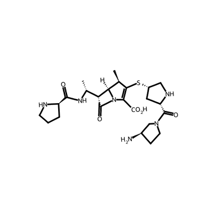 C[C@@H](NC(=O)[C@H]1CCCN1)[C@H]1C(=O)N2C(C(=O)O)=C(S[C@@H]3CN[C@H](C(=O)N4CC[C@@H](N)C4)C3)[C@H](C)[C@H]12